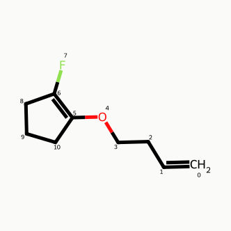 C=CCCOC1=C(F)CCC1